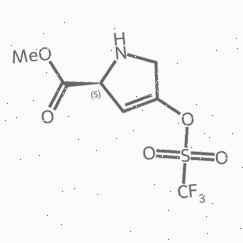 COC(=O)[C@@H]1C=C(OS(=O)(=O)C(F)(F)F)CN1